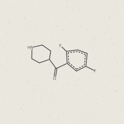 O=C(c1cc(F)ccc1F)C1CCNCC1